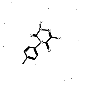 Cc1ccc(-n2c(=O)c(C(C)C)nn(C(C)C)c2=S)cc1